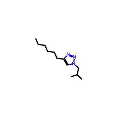 CCCCCCc1cn(CC(C)C)nn1